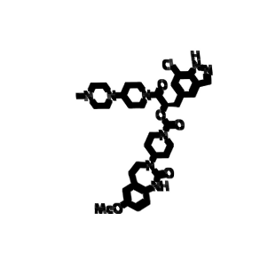 COc1ccc2c(c1)CCN(C1CCN(C(=O)O[C@H](Cc3cc(Cl)c4[nH]ncc4c3)C(=O)N3CCC(N4CCN(C)CC4)CC3)CC1)C(=O)N2